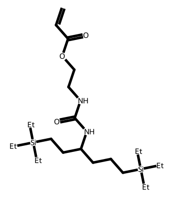 C=CC(=O)OCCNC(=O)NC(CCC[Si](CC)(CC)CC)CC[Si](CC)(CC)CC